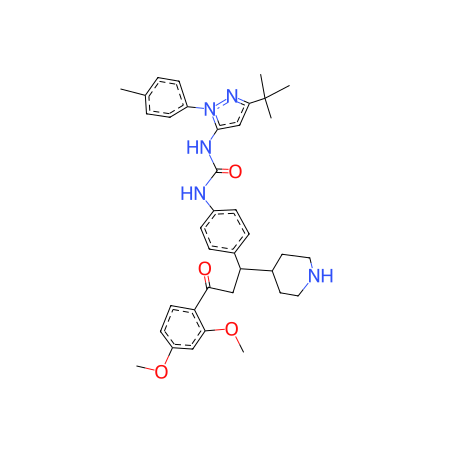 COc1ccc(C(=O)CC(c2ccc(NC(=O)Nc3cc(C(C)(C)C)nn3-c3ccc(C)cc3)cc2)C2CCNCC2)c(OC)c1